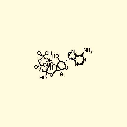 Nc1ncnc2c1ncn2[C@@H]1O[C@@H]2C(OP(=O)(O)OP(=O)(O)OP(=O)(O)O)[C@]2(O)[C@H]1O